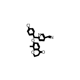 Cc1c(O[C@H](c2ccc(Cl)cc2)c2ccc(C#N)cn2)ccc2c1OCCC2=O